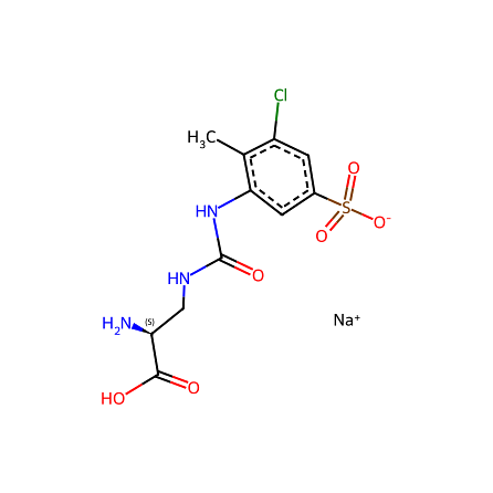 Cc1c(Cl)cc(S(=O)(=O)[O-])cc1NC(=O)NC[C@H](N)C(=O)O.[Na+]